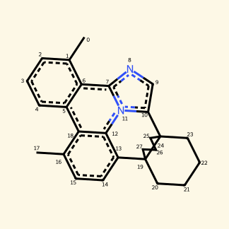 Cc1cccc2c1c1ncc3n1c1c(ccc(C)c21)C12CCCCC31CCC2